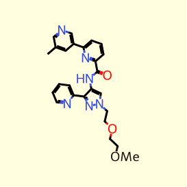 COCCOCCn1cc(NC(=O)c2cccc(-c3cncc(C)c3)n2)c(-c2ccccn2)n1